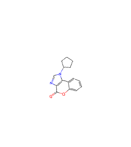 O=c1oc2ccccc2c2c1ncn2C1CCCC1